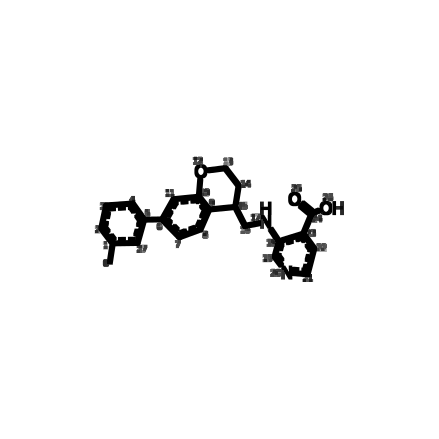 Cc1cccc(-c2ccc3c(c2)OCCC3CNc2cnccc2C(=O)O)c1